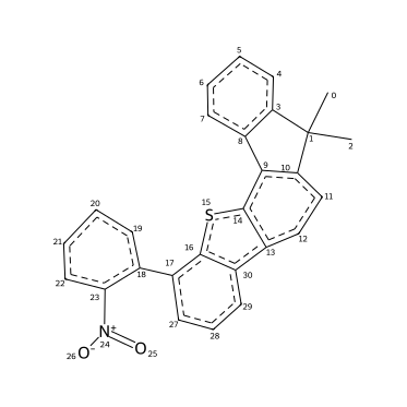 CC1(C)c2ccccc2-c2c1ccc1c2sc2c(-c3ccccc3[N+](=O)[O-])cccc21